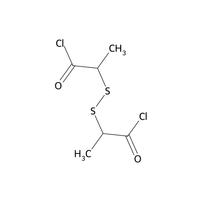 CC(SSC(C)C(=O)Cl)C(=O)Cl